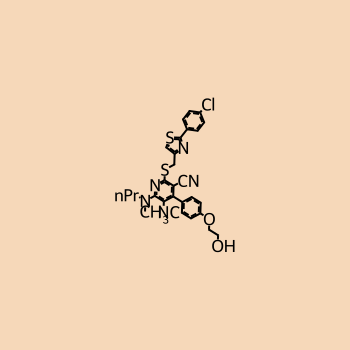 [C-]#[N+]c1c(N(C)CCC)nc(SCc2csc(-c3ccc(Cl)cc3)n2)c(C#N)c1-c1ccc(OCCO)cc1